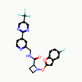 O=C(NCc1cc(-c2ncc(C(F)(F)F)cn2)ccn1)C1CCN1Oc1cc2cc(F)ccc2o1